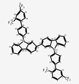 FC(F)(F)c1ccc(C(F)(F)F)c(-c2ccc(-n3c4ccccc4c4ccc(-c5ccc6c7ccccc7n(-c7ccc(-c8ccc(C(F)(F)F)cc8C(F)(F)F)cc7)c6c5)cc43)cc2)c1